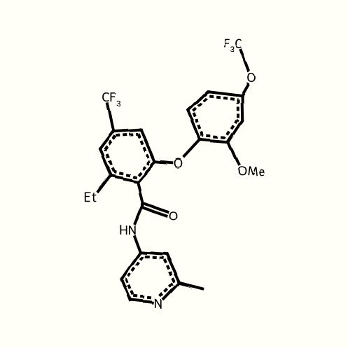 CCc1cc(C(F)(F)F)cc(Oc2ccc(OC(F)(F)F)cc2OC)c1C(=O)Nc1ccnc(C)c1